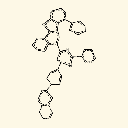 C1=Cc2cc(C3C=CC(c4nc(-c5ccccc5)nc(-c5cc6c(oc7cccc(-c8ccccc8)c76)c6ccccc56)n4)=CC3)ccc2CC1